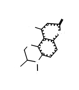 CCCC1COc2c(ccc3[nH]c(=O)cc(C(F)(F)F)c23)N1CC